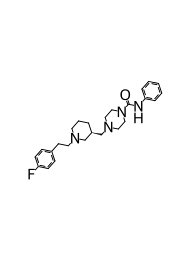 O=C(Nc1ccccc1)N1CCN(C[C@@H]2CCCN(CCc3ccc(F)cc3)C2)CC1